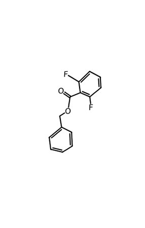 O=C(OCc1ccccc1)c1c(F)cccc1F